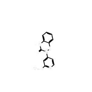 COc1cc(N2Sc3ccccc3NC2=O)ccn1